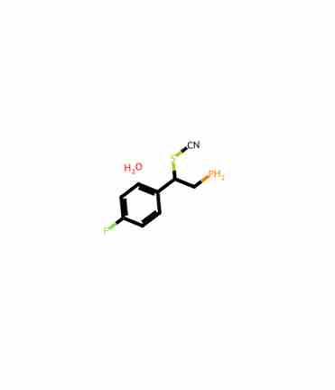 N#CSC(CP)c1ccc(F)cc1.O